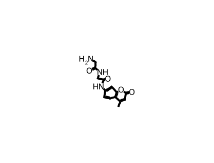 Cc1cc(=O)oc2cc(NC(=O)CNC(=O)CN)ccc12